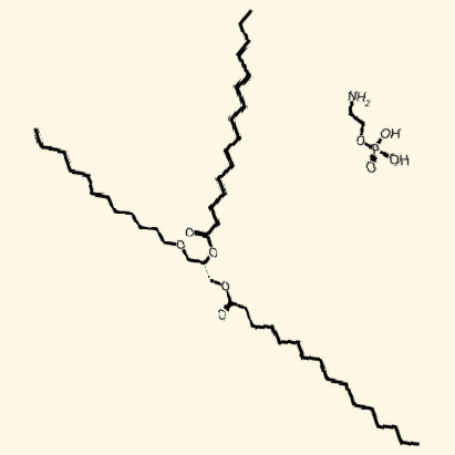 CCCCCCCCCCCCCCCC(=O)OC[C@H](COCCCCCCCCCCCC)OC(=O)CCCCCCCCCCCCCCC.NCCOP(=O)(O)O